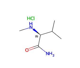 CN[C@H](C(N)=O)C(C)C.Cl